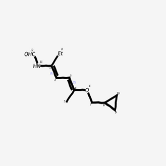 CC/C(=C\C=C(/C)OCC1CC1)NC=O